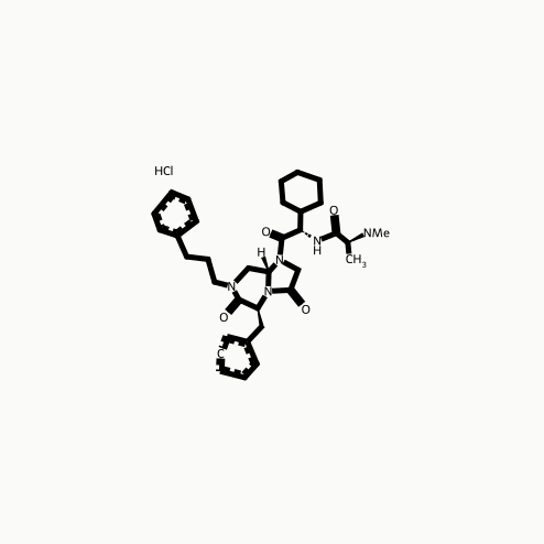 CN[C@@H](C)C(=O)N[C@H](C(=O)N1CC(=O)N2[C@@H]1CN(CCCc1ccccc1)C(=O)[C@@H]2Cc1ccccc1)C1CCCCC1.Cl